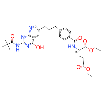 CCOC(=O)CC[C@H](NC(=O)c1ccc(CCCc2cnc3nc(NC(=O)C(C)(C)C)nc(O)c3c2)cc1)C(=O)OCC